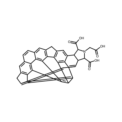 O=C(O)CN1C(C(=O)O)C2c3cc4c5c6c(cc7ccc8cc9c%10c%11c(cc(c%12c3c5c(c%12%11)c3c6c7c8c%103)C2C1C(=O)O)C9)C4